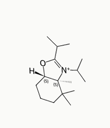 CC(C)C1=[N+](C(C)C)[C@]2(C)[C@H](CCCC2(C)C)O1